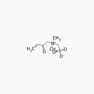 C=CC(=O)C[N+](C)(C)CS(=O)(=O)[O-]